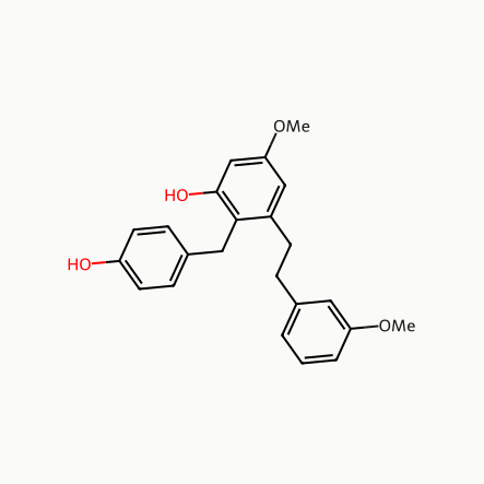 COc1cccc(CCc2cc(OC)cc(O)c2Cc2ccc(O)cc2)c1